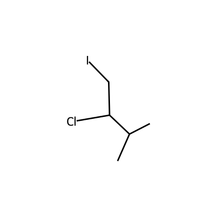 CC(C)C(Cl)CI